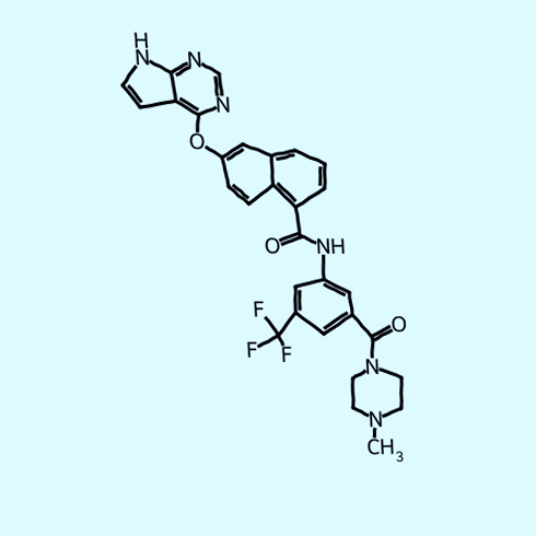 CN1CCN(C(=O)c2cc(NC(=O)c3cccc4cc(Oc5ncnc6[nH]ccc56)ccc34)cc(C(F)(F)F)c2)CC1